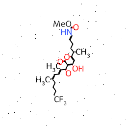 COC(=O)N/C=C/CCC(C)c1cc(O)c(C(=O)/C(C)=C/C=C(/C)CCCCC(F)(F)F)c(=O)o1